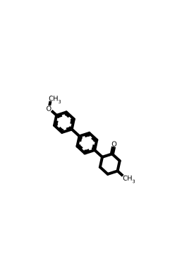 COc1ccc(-c2ccc(C3CCC(C)CC3=O)cc2)cc1